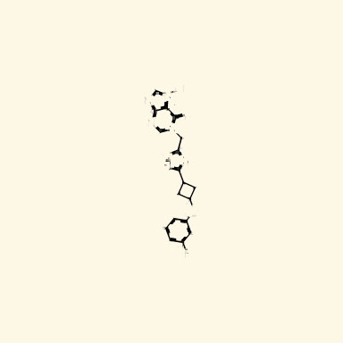 Cn1cnc2ncn(Cc3nc(C4CC(Oc5cccc(F)c5)C4)no3)c(=O)c21